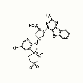 C[C@H]1CS(=O)(=O)CC[C@]1(F)c1cc(Cl)cnc1O[C@H]1C[C@@H](C(=O)O)N(c2nc(C(F)(F)F)nc3c2oc2ccccc23)C1